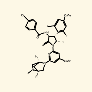 COc1cc(N2C[C@@H]3C[C@H]2CN3C)nc(N2C(=O)[C@@H](NC(=O)c3ccc(Cl)cc3)[C@H](c3c(F)cc(OC)cc3F)[C@@H]2C)c1